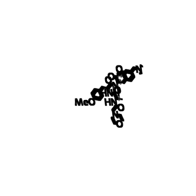 COc1ccc(C[C@H](NC(=O)[C@H](C)NC(=O)CN2CCOCC2)C(=O)N[C@@H](Cc2ccc(CN(C)C)cc2)C(=O)[C@H]2CO2)cc1